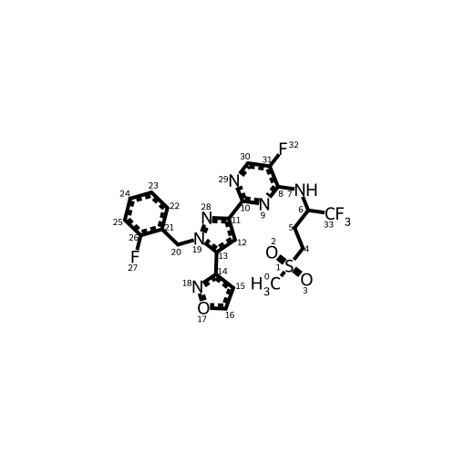 CS(=O)(=O)CCC(Nc1nc(-c2cc(-c3ccon3)n(Cc3ccccc3F)n2)ncc1F)C(F)(F)F